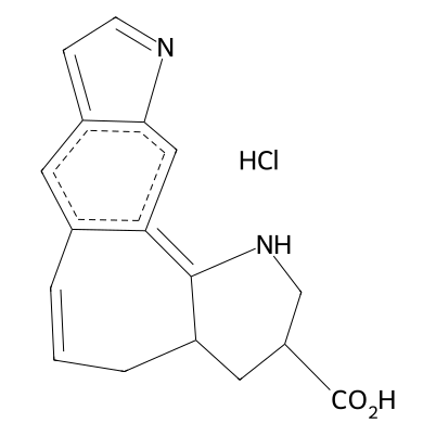 Cl.O=C(O)C1CNC2=c3cc4c(cc3C=CCC2C1)=CC=N4